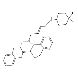 FC1(F)CCC(NC/C=C/CN(C[C@H]2Cc3ccccc3CN2)[C@H]2CCCc3cccnc32)CC1